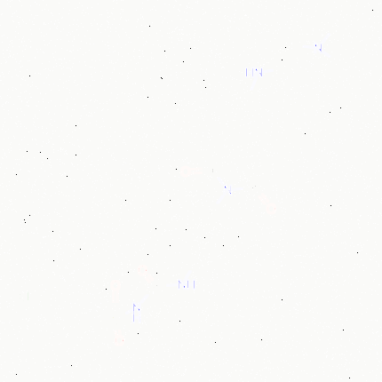 O=C(Nc1ccc(N2C(=O)Cc3cc(NCCN4CCCC4)ccc3C2=O)cc1)NS(=O)(=O)c1cc(Cl)c(Cl)s1